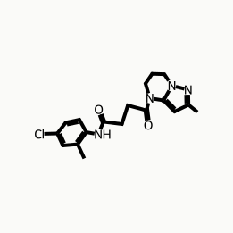 Cc1cc2n(n1)CCCN2C(=O)CCC(=O)Nc1ccc(Cl)cc1C